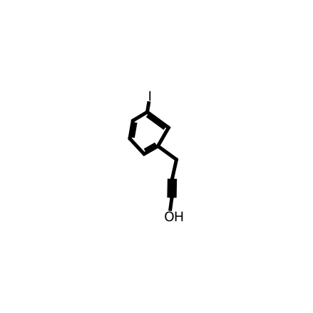 OC#CCc1cccc(I)c1